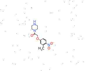 Cc1cc(OCC(=O)N2CCNCC2)ccc1[N+](=O)[O-]